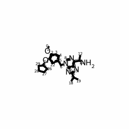 COc1ccc(Cn2cnc(C(C)N)c3nc(C(C)C)nc2-3)cc1OC1CCCC1